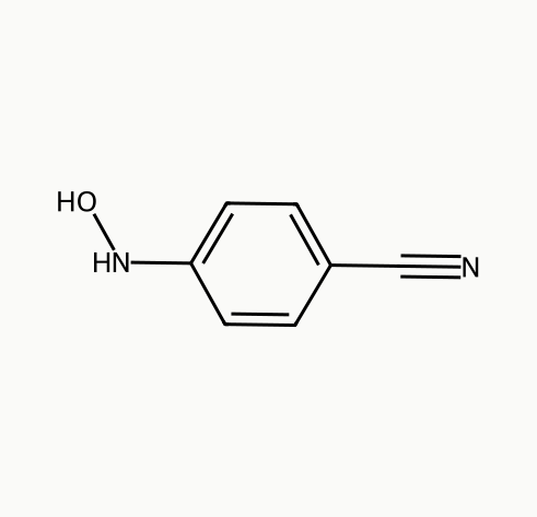 N#Cc1ccc(NO)cc1